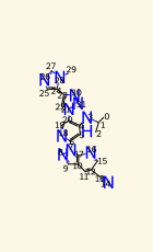 CC(C)Nc1cc(-n2ncc3cc(C#N)cnc32)ncc1-n1cc(-c2cncn2C)nn1